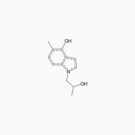 Cc1ccc2c(ccn2CC(C)O)c1O